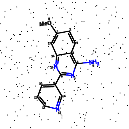 COc1ccc2c(N)nc(-c3cccnc3)nc2c1